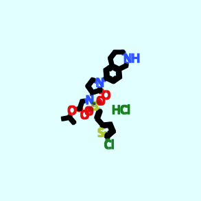 CC(C)OC(=O)CN([C@H]1CCN(c2ccc3c(c2)CCCNC3)C1=O)S(=O)(=O)C=Cc1ccc(Cl)s1.Cl